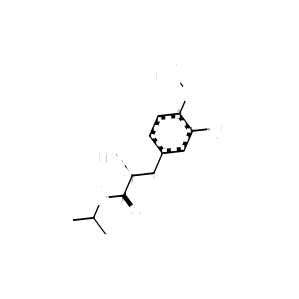 CC(C)OC(=O)[C@@H](N)Cc1ccc(OP)c(O)c1